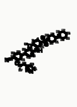 COc1ccc(S(=O)(=O)N2CCC(N3CCCCC3)CC2)cc1Nc1ncc(-c2ccc(C#N)c(O[C@@H](C)Cn3cnnn3)c2)cn1